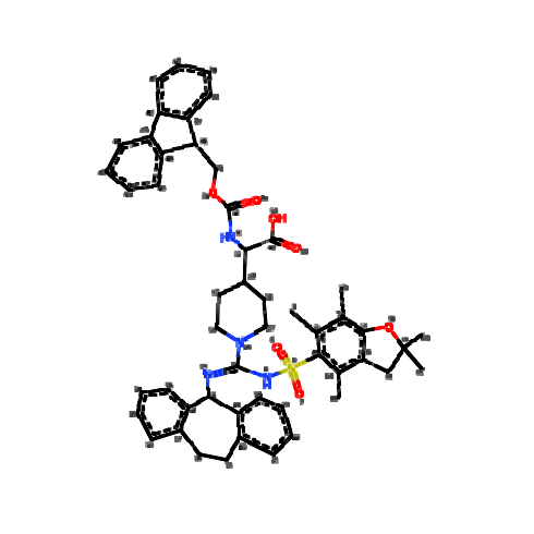 Cc1c(C)c(S(=O)(=O)NC(=NC2c3ccccc3CCc3ccccc32)N2CCC(C(NC(=O)OCC3c4ccccc4-c4ccccc43)C(=O)O)CC2)c(C)c2c1OC(C)(C)C2